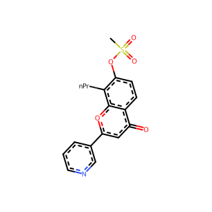 CCCc1c(OS(C)(=O)=O)ccc2c(=O)cc(-c3cccnc3)oc12